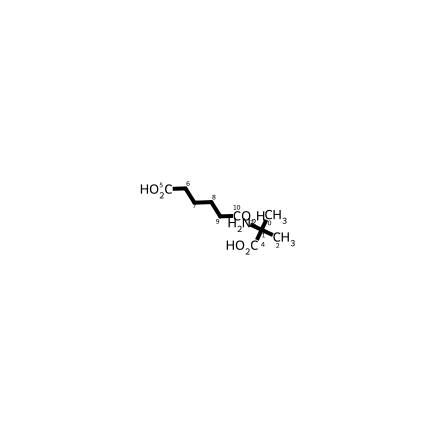 CC(C)(N)C(=O)O.O=C(O)CCCCC(=O)O